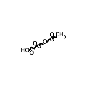 CCC(=O)OCCOCCOC(=O)CCC(=O)O